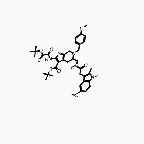 COc1ccc(CN2Cc3sc(NC(=O)C(=O)OC(C)(C)C)c(C(=O)OC(C)(C)C)c3CC2CNC(=O)Cc2c(C)[nH]c3ccc(OC)cc23)cc1